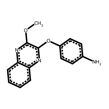 COc1nc2ccccc2nc1Oc1ccc(N)cc1